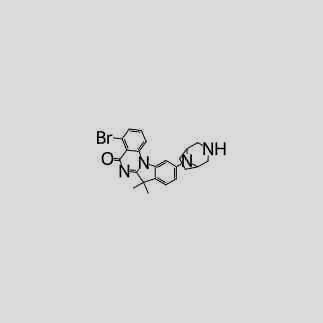 CC1(C)c2ccc(N3C4CCC3CNC4)cc2-n2c1nc(=O)c1c(Br)cccc12